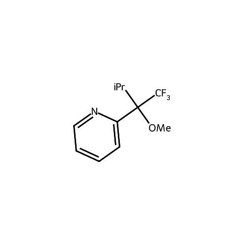 COC(c1ccccn1)(C(C)C)C(F)(F)F